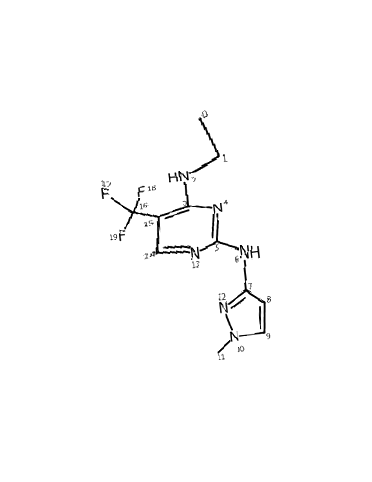 CCNc1nc(Nc2ccn(C)n2)ncc1C(F)(F)F